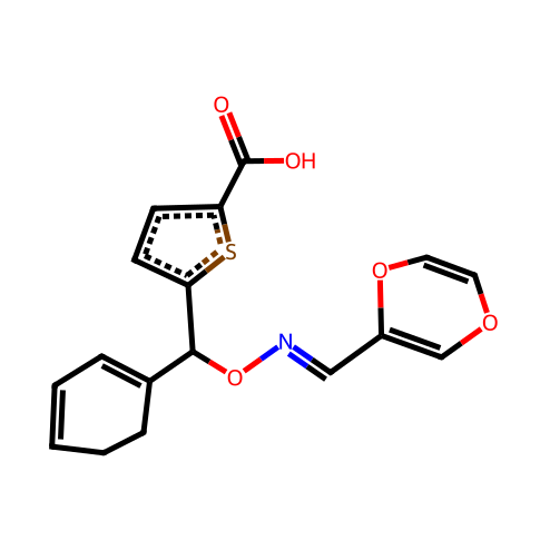 O=C(O)c1ccc(C(ON=CC2=COC=CO2)C2=CC=CCC2)s1